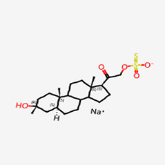 C[C@@]1(O)CC[C@]2(C)C3CC[C@@]4(C)C(CC[C@@H]4C(=O)COS(=O)([O-])=S)C3CC[C@H]2C1.[Na+]